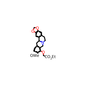 CCOC(=O)COc1c(OC)ccc2c1CN1CCc3cc4c(cc3C1C2)OCO4